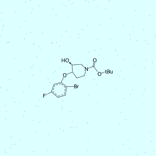 CC(C)(C)OC(=O)N1CCC(Oc2cc(F)ccc2Br)[C@@H](O)C1